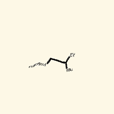 [CH2]CCCCCC(CC)C(C)(C)C